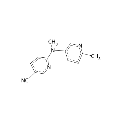 Cc1ccc(N(C)c2ccc(C#N)cn2)cn1